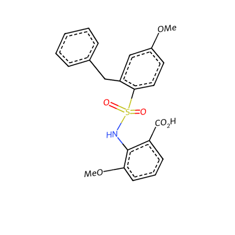 COc1ccc(S(=O)(=O)Nc2c(OC)cccc2C(=O)O)c(Cc2ccccc2)c1